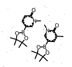 Cc1cc(B2OC(C)(C)C(C)(C)O2)cn(C)c1=O.Cn1cc(B2OC(C)(C)C(C)(C)O2)ccc1=O